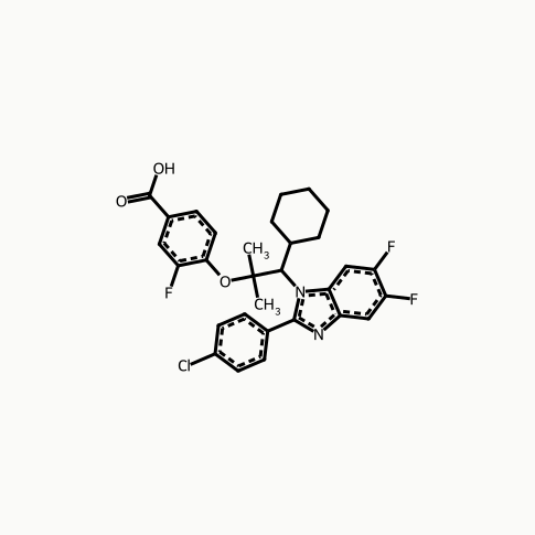 CC(C)(Oc1ccc(C(=O)O)cc1F)C(C1CCCCC1)n1c(-c2ccc(Cl)cc2)nc2cc(F)c(F)cc21